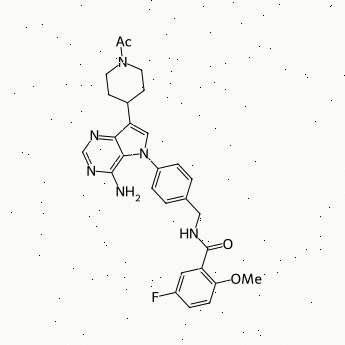 COc1ccc(F)cc1C(=O)NCc1ccc(-n2cc(C3CCN(C(C)=O)CC3)c3ncnc(N)c32)cc1